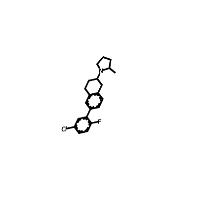 CC1CCCN1C1CCc2cc(-c3cc(Cl)ccc3F)ccc2C1